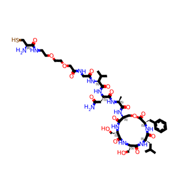 CC(C)C[C@@H]1NC(=O)[C@H](CO)NC(=O)[C@H](CO)NC(=O)[C@@H](NC(=O)[C@H](C)NC(=O)[C@H](CC(N)=O)NC(=O)[C@@H](NC(=O)CNC(=O)COCCOCCNC(=O)[C@@H](N)CS)C(C)C)COC(=O)[C@H](Cc2ccccc2)NC1=O